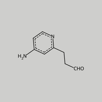 Nc1ccnc(CCC=O)c1